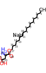 CCCCCCCCCCCCCCCCCCOC(=O)[C@@H](N)CC(=O)O.[NaH]